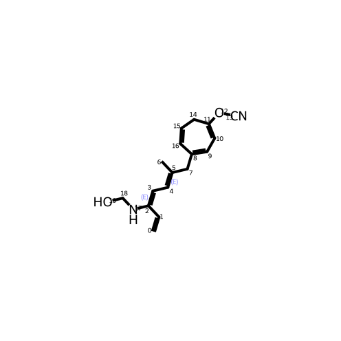 C=C/C(=C\C=C(/C)CC1=CC=C(OC#N)CC=C1)NCO